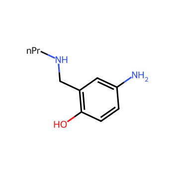 CCCNCc1cc(N)ccc1O